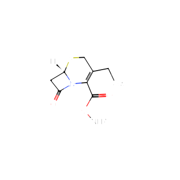 CC(=O)NOC(=O)C1=C(COC(C)=O)CS[C@H]2CC(=O)N12